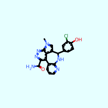 Cn1cc2c3c(c(C(N)=O)nnc31)-c1cccnc1NC2c1ccc(O)c(Cl)c1